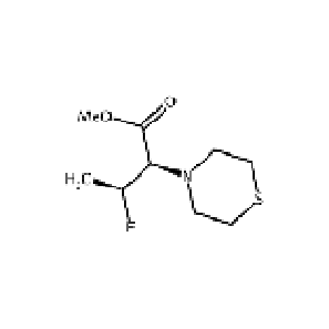 COC(=O)[C@H]([C@H](C)F)N1CCSCC1